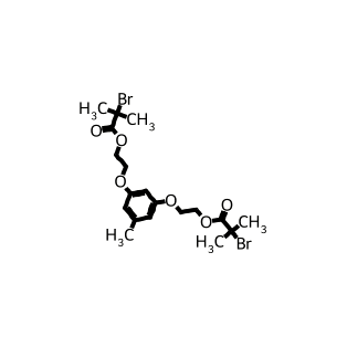 Cc1cc(OCCOC(=O)C(C)(C)Br)cc(OCCOC(=O)C(C)(C)Br)c1